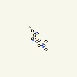 N#Cc1ccc(-c2cc3c4cccnc4c(-c4ccc(-c5cccc(-c6nc(-c7ccccc7)nc(-c7ccccc7)n6)c5)c5ccccc45)cc3c3cccnc23)cc1